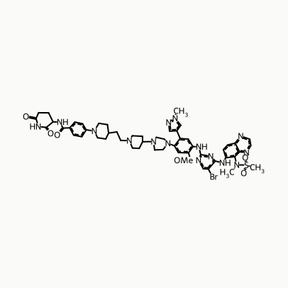 COc1cc(N2CCN(C3CCN(CCC4CCN(c5ccc(C(=O)NC6CCC(=O)NC6=O)cc5)CC4)CC3)CC2)c(-c2cnn(C)c2)cc1Nc1ncc(Br)c(Nc2ccc3nccnc3c2N(C)S(C)(=O)=O)n1